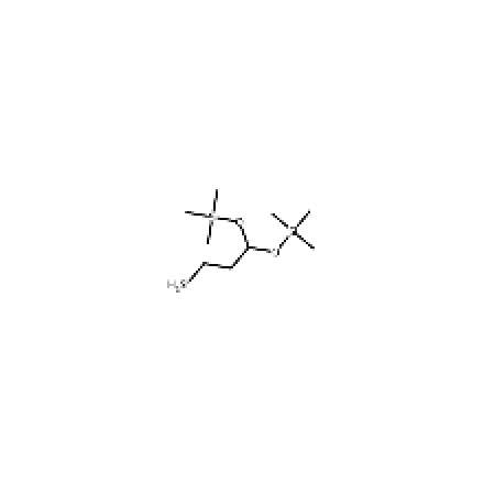 C[Si](C)(C)OC(CC[SiH3])O[Si](C)(C)C